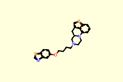 c1cc2c3c(csc3c1)CC1CN(CCCCOc3ccc4scnc4c3)CCN21